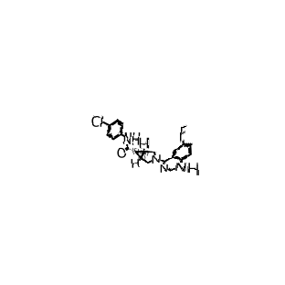 O=C(Nc1ccc(Cl)cc1)[C@@H]1[C@@H]2CN(C3N=CNc4ccc(F)cc43)C[C@@H]21